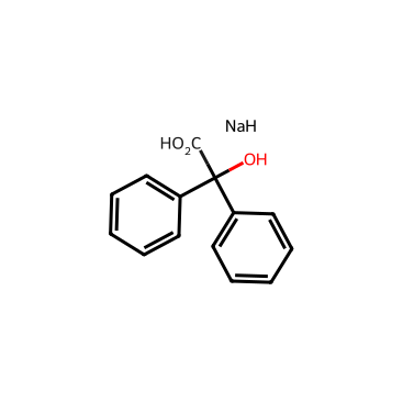 O=C(O)C(O)(c1ccccc1)c1ccccc1.[NaH]